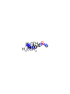 Cc1c(-c2[nH]c3ccc(C4CCN(C(=O)CCN5CCCCC5)CC4)cc3c2C(C)C)cn2ncnc2c1C